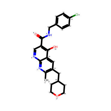 Cc1nc2ncc(C(=O)NCc3ccc(Cl)cc3)c(O)c2cc1CC1CCOCC1